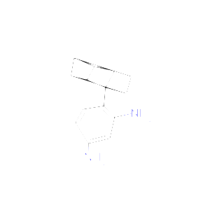 Nc1ccc(C23C4C5C6C4C2C6C53)c(N)c1